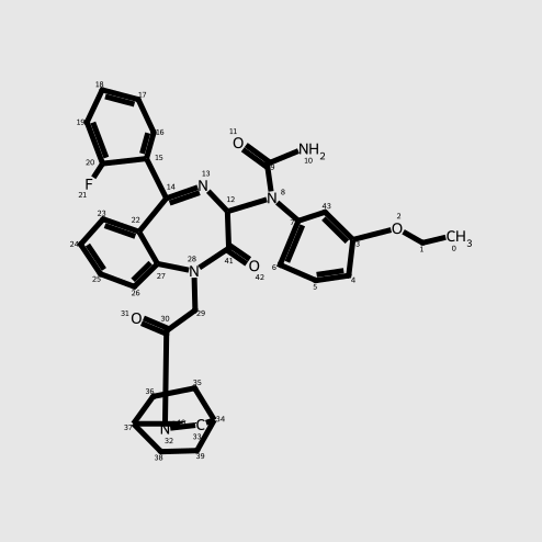 CCOc1cccc(N(C(N)=O)C2N=C(c3ccccc3F)c3ccccc3N(CC(=O)N3CC4CCC(CC4)C3)C2=O)c1